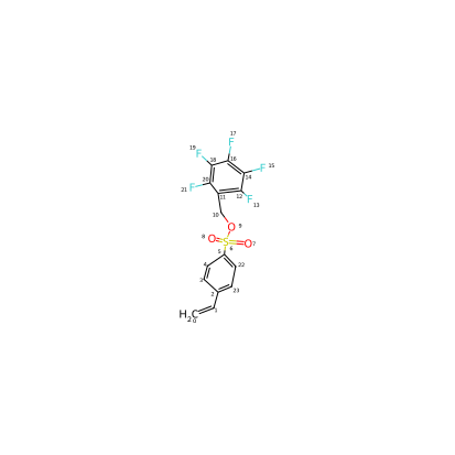 C=Cc1ccc(S(=O)(=O)OCc2c(F)c(F)c(F)c(F)c2F)cc1